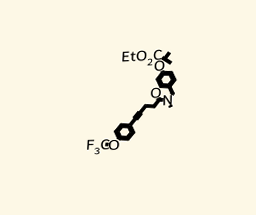 CCOC(=O)C(C)(C)Oc1ccc(CN(C)C(=O)CCC#Cc2ccc(OC(F)(F)F)cc2)cc1